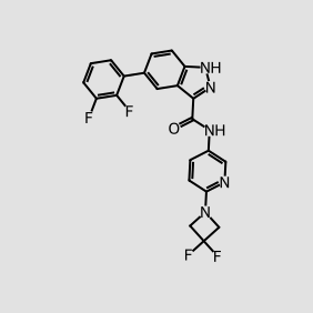 O=C(Nc1ccc(N2CC(F)(F)C2)nc1)c1n[nH]c2ccc(-c3cccc(F)c3F)cc12